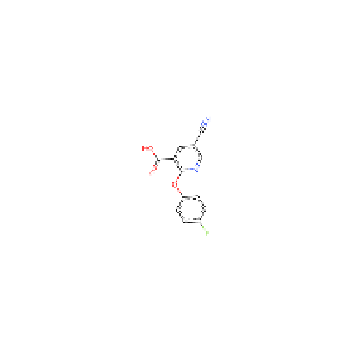 N#Cc1cnc(Oc2ccc(F)cc2)c(C(=O)O)c1